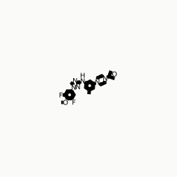 COc1c(F)cc(-n2cnc(Nc3cc(C)cc(N4CCN(C5COC5)CC4)c3)n2)cc1F